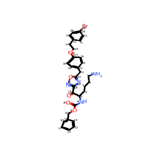 NCCCCC(NC(=O)OCc1ccccc1)C(=O)c1noc(Cc2ccc(OCCc3ccc(Br)cc3)cc2)n1